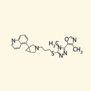 Cc1ncoc1-c1nnc(SCCCN2CC3CC3(c3cccc4ncccc34)C2)n1C